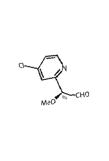 CO[C@H](C=O)c1cc(Cl)ccn1